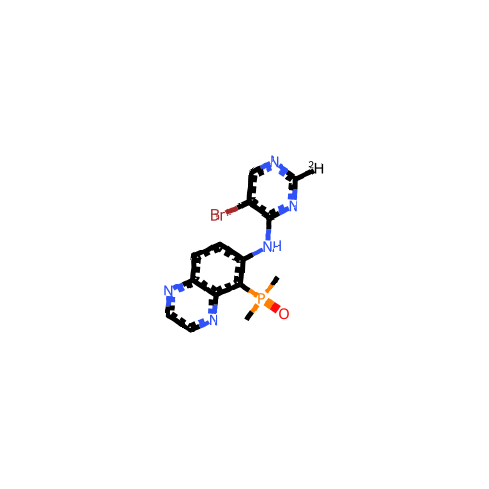 [2H]c1ncc(Br)c(Nc2ccc3nccnc3c2P(C)(C)=O)n1